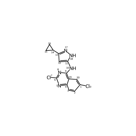 Clc1ccc2nc(Cl)nc(Nc3cc(C4CC4)n[nH]3)c2c1